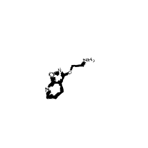 NCCOc1noc2ncccc12